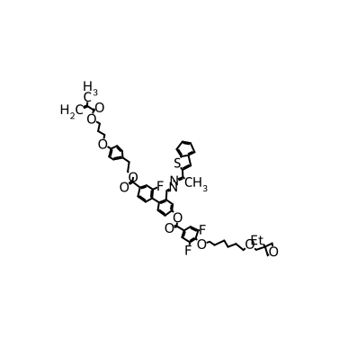 C=C(C)C(=O)OCCCOc1ccc(CCOC(=O)c2ccc(-c3ccc(OC(=O)c4cc(F)c(OCCCCCCOCC5(CC)COC5)c(F)c4)cc3/C=N/N=C(\C)c3cc4ccccc4s3)c(F)c2)cc1